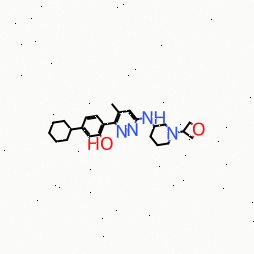 Cc1cc(N[C@@H]2CCCN(C3COC3)C2)nnc1-c1ccc(C2CCCCC2)cc1O